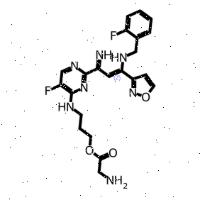 N=C(/C=C(\NCc1ccccc1F)c1ccon1)c1ncc(F)c(NCCCOC(=O)CN)n1